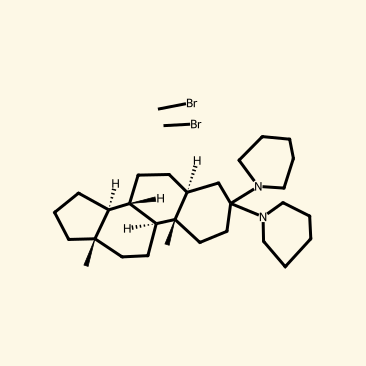 CBr.CBr.C[C@@]12CCC[C@H]1[C@@H]1CC[C@H]3CC(N4CCCCC4)(N4CCCCC4)CC[C@]3(C)[C@H]1CC2